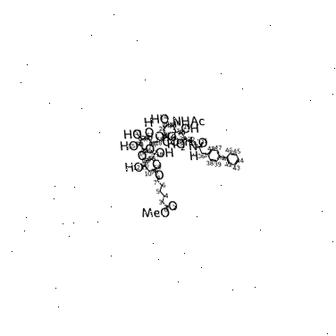 COC(=O)CCCCCO[C@H]1C[C@@H](O)[C@H](O[C@@H]2O[C@H](CO[C@]3(C(=O)O)C[C@H](O)[C@@H](NC(C)=O)C([C@H](O)C(O)CNC(=O)Cc4ccc(-c5ccccc5)cc4)O3)[C@H](O)[C@H](O)[C@H]2O)[C@@H](CO)O1